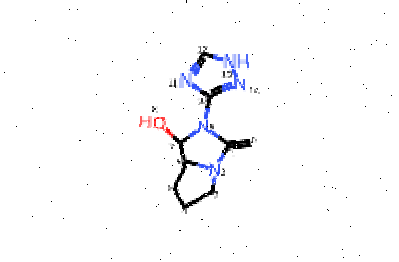 C=C1N2CCCC2C(O)N1c1nc[nH]n1